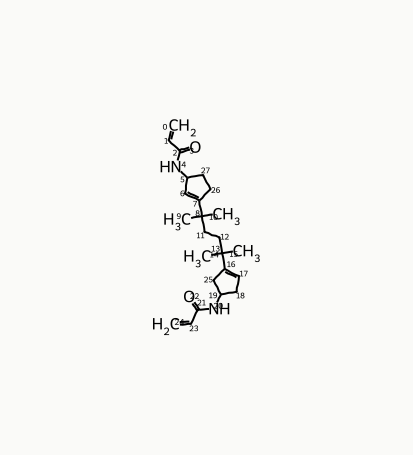 C=CC(=O)NC1C=C(C(C)(C)CCC(C)(C)C2=CCC(NC(=O)C=C)C2)CC1